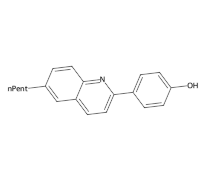 CCCCCc1ccc2nc(-c3ccc(O)cc3)ccc2c1